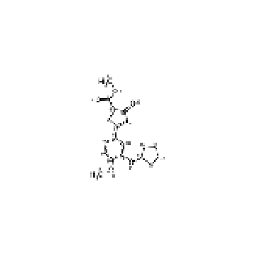 COC(=O)C1CC(c2ccc(OC)c(OC3CCCC3)c2)=CC1=O